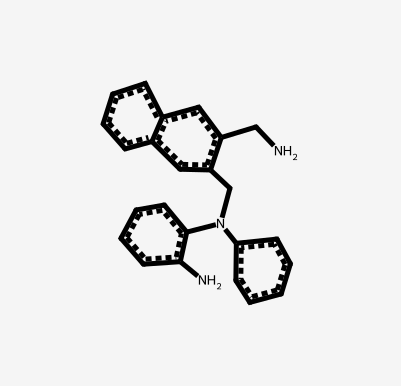 NCc1cc2ccccc2cc1CN(c1ccccc1)c1ccccc1N